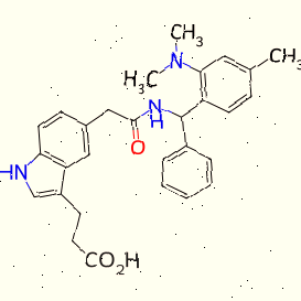 Cc1ccc(C(NC(=O)Cc2ccc3[nH]cc(CCC(=O)O)c3c2)c2ccccc2)c(N(C)C)c1